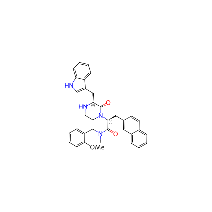 COc1ccccc1CN(C)C(=O)[C@H](Cc1ccc2ccccc2c1)N1CCN[C@@H](Cc2c[nH]c3ccccc23)C1=O